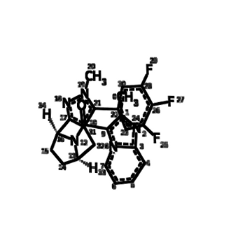 Cc1nc2ccccn2c1C(=O)N1[C@@H]2CC[C@H]1c1nn(C)c(-c3cc(F)c(F)c(F)c3)c1C2